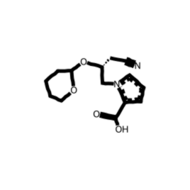 N#CC[C@H](Cn1cccc1C(=O)O)OC1CCCCO1